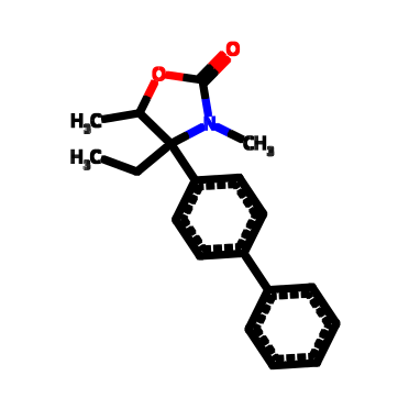 CCC1(c2ccc(-c3ccccc3)cc2)C(C)OC(=O)N1C